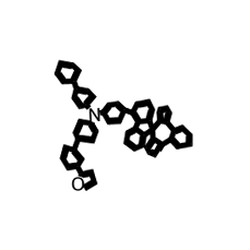 c1ccc(-c2ccc(N(c3ccc(-c4cccc(-c5ccco5)c4)cc3)c3ccc(-c4cccc5c4-c4ccccc4C54c5ccccc5-c5ccccc5-c5ccccc54)cc3)cc2)cc1